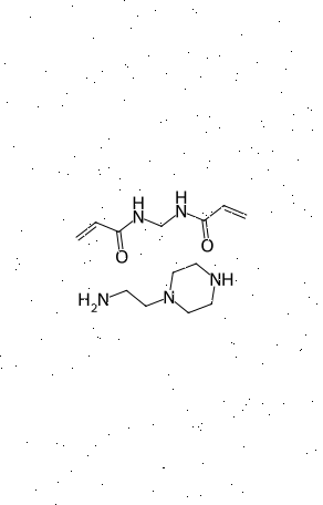 C=CC(=O)NCNC(=O)C=C.NCCN1CCNCC1